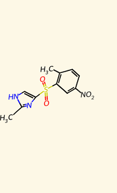 Cc1nc(S(=O)(=O)c2cc([N+](=O)[O-])ccc2C)c[nH]1